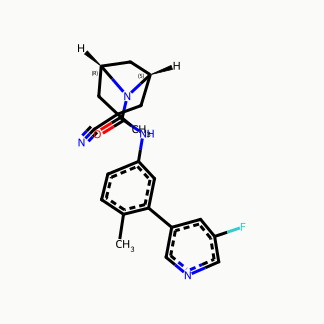 Cc1ccc(NC(=O)N2[C@@H]3C[C@H]2CC(C)(C#N)C3)cc1-c1cncc(F)c1